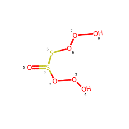 O=S(OOO)SOOO